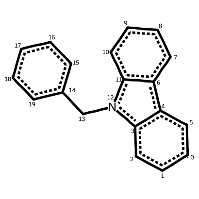 [c]1ccc2c(c1)c1ccccc1n2Cc1ccccc1